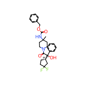 CC1(NC(=O)OCc2ccccc2)CCN(C(=O)[C@](O)(c2ccccc2)[C@@H]2CCC(F)(F)C2)CC1